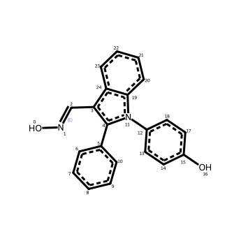 O/N=C/c1c(-c2ccccc2)n(-c2ccc(O)cc2)c2ccccc12